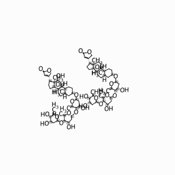 C[C@H]1O[C@@H](O[C@H]2[C@@H](O)C[C@H](O[C@H]3[C@@H](O)C[C@H](O[C@H]4CC[C@@]5(C)[C@H](CC[C@@H]6[C@@H]5CC[C@]5(C)[C@@H](C7=CC(=O)OC7)CC[C@]65O)C4)O[C@@H]3C)O[C@@H]2C)C[C@H](O)[C@@H]1O.C[C@H]1O[C@@H](O[C@H]2[C@@H](O)C[C@H](O[C@H]3[C@@H](O)C[C@H](O[C@H]4CC[C@@]5(C)[C@H](CC[C@@H]6[C@@H]5C[C@@H](O)[C@]5(C)[C@@H](C7=CC(=O)OC7)CC[C@]65O)C4)O[C@@H]3C)O[C@@H]2C)C[C@H](O)[C@@H]1O